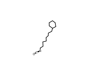 O=C=NCCCCCCCCC1CCCCC1